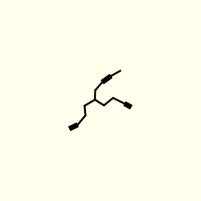 C#CCC[C](CC#CC)CCC#C